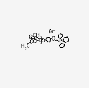 CCOC(=O)C(C)(C)CCCOc1ccc(OCCC[P+](c2ccccc2)(c2ccccc2)c2ccccc2)cc1.[Br-]